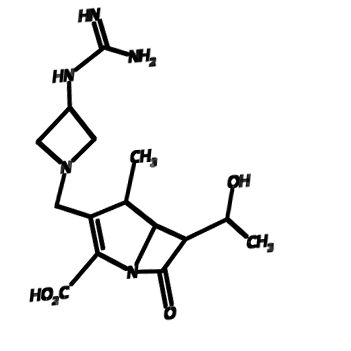 CC(O)C1C(=O)N2C(C(=O)O)=C(CN3CC(NC(=N)N)C3)C(C)C12